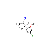 COc1cc(F)ccc1C(C)(C)C(C)C#N